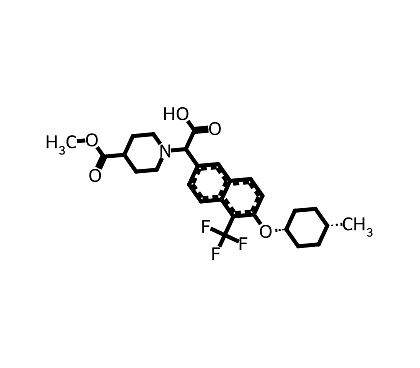 COC(=O)C1CCN(C(C(=O)O)c2ccc3c(C(F)(F)F)c(O[C@H]4CC[C@@H](C)CC4)ccc3c2)CC1